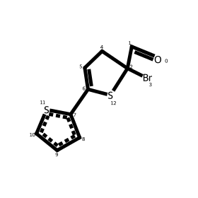 O=CC1(Br)CC=C(c2cccs2)S1